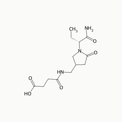 CC[C@H](C(N)=O)N1CC(CNC(=O)CCC(=O)O)CC1=O